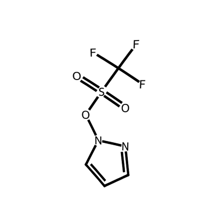 O=S(=O)(On1cccn1)C(F)(F)F